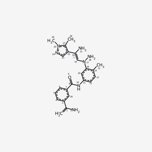 C=C(N)c1cccc(C(=O)Nc2ccc(C)c(N(N)/C=C(\N)c3cnn(C)c3C)c2)c1